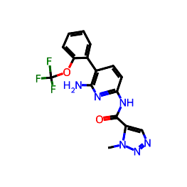 Cn1nncc1C(=O)Nc1ccc(-c2ccccc2OC(F)(F)F)c(N)n1